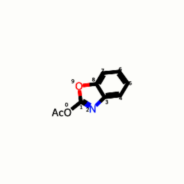 CC(=O)Oc1nc2ccccc2o1